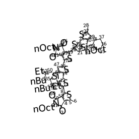 CCCCCCCCN1C(=O)c2c(C)sc(-c3cc4c(s3)-c3sc(-c5sc(-c6cc7c(s6)-c6sc(C)cc6[Si]7(CCCCCCCC)C6CCCCC6)c6c5C(=O)N(CCCCCCCC)C6=O)cc3[Si]4(CC(CC)CCCC)CC(CC)CCCC)c2C1=O